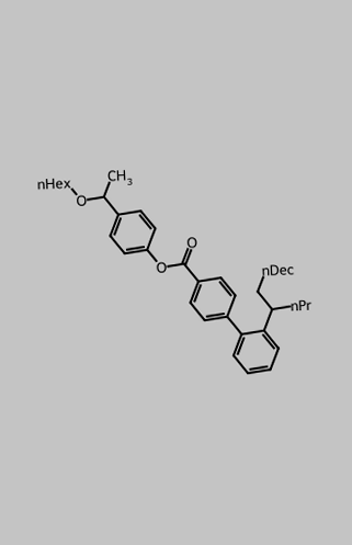 CCCCCCCCCCCC(CCC)c1ccccc1-c1ccc(C(=O)Oc2ccc(C(C)OCCCCCC)cc2)cc1